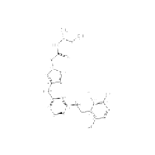 C[C@H](CO)NC(=O)Cn1cc(Nc2nccc(NCc3c(F)ccc(F)c3F)n2)cn1